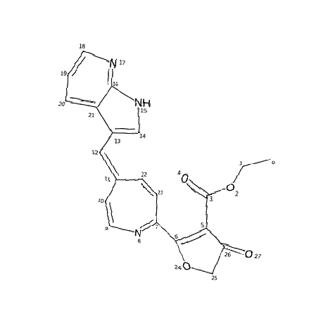 CCOC(=O)C1=C(C2=NC=CC(=Cc3c[nH]c4ncccc34)C=C2)OCC1=O